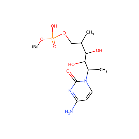 CC(COP(=O)(O)OC(C)(C)C)C(O)C(O)C(C)n1ccc(N)nc1=O